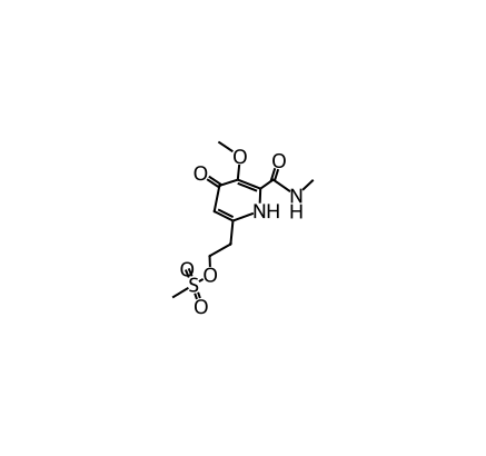 CNC(=O)c1[nH]c(CCOS(C)(=O)=O)cc(=O)c1OC